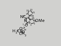 COc1ccc2c(OC[C@@H]3COC(C)(C)O3)nc(C#N)c(-c3ccccc3)c2c1